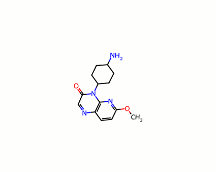 COc1ccc2ncc(=O)n(C3CCC(N)CC3)c2n1